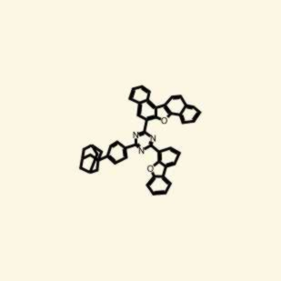 c1ccc2c(c1)ccc1c2oc2c(-c3nc(-c4ccc(C56CC7CC(CC(C7)C5)C6)cc4)nc(-c4cccc5c4oc4ccccc45)n3)cc3ccccc3c21